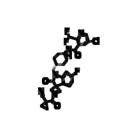 N#CC1(C(=O)N2CC3(C2)C(=O)N(C[C@H]2CC[C@H](NC(=O)c4cc(Cl)cnc4C(F)F)CC2)c2cc(F)ccc23)CC1